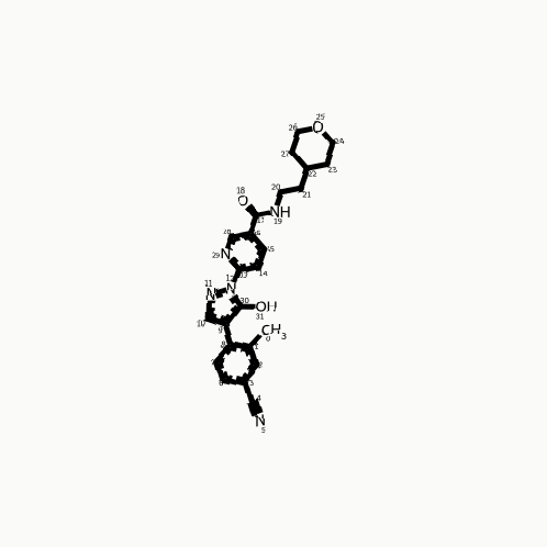 Cc1cc(C#N)ccc1-c1cnn(-c2ccc(C(=O)NCCC3CCOCC3)cn2)c1O